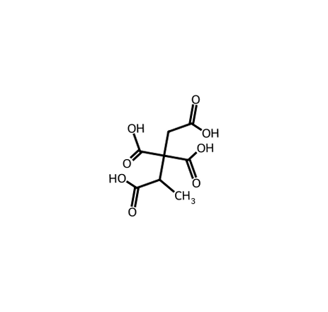 CC(C(=O)O)C(CC(=O)O)(C(=O)O)C(=O)O